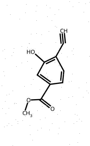 C#Cc1ccc(C(=O)OC)cc1O